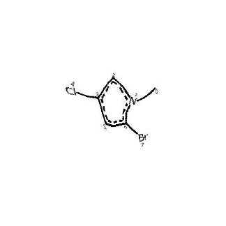 Cn1cc(Cl)cc1Br